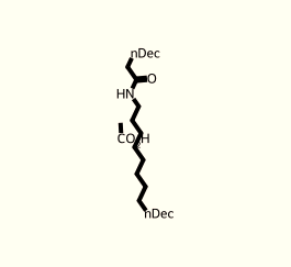 CC(=O)O.CCCCCCCCCCCCCCCCCCNC(=O)CCCCCCCCCCC